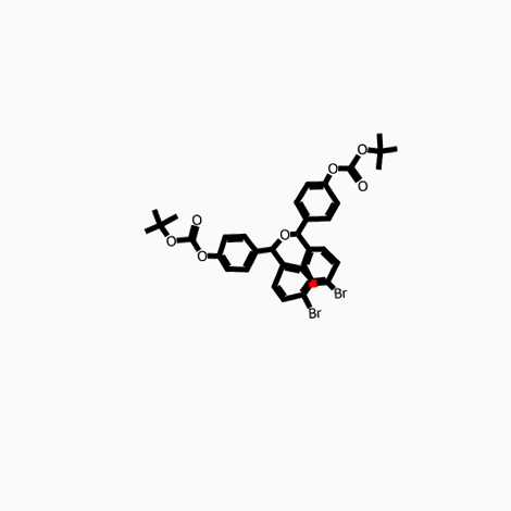 CC(C)(C)OC(=O)Oc1ccc(C(OC(c2ccc(Br)cc2)c2ccc(OC(=O)OC(C)(C)C)cc2)c2ccc(Br)cc2)cc1